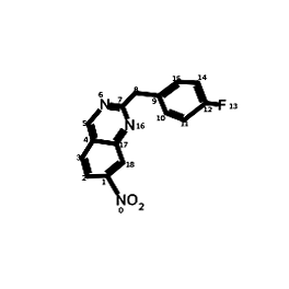 O=[N+]([O-])c1ccc2cnc(Cc3ccc(F)cc3)nc2c1